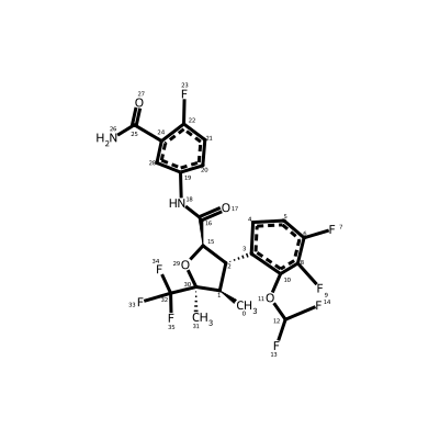 C[C@@H]1[C@@H](c2ccc(F)c(F)c2OC(F)F)[C@H](C(=O)Nc2ccc(F)c(C(N)=O)c2)O[C@]1(C)C(F)(F)F